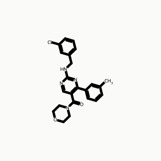 Cc1cccc(-c2nc(NCc3cccc(Cl)c3)ncc2C(=O)N2CCOCC2)c1